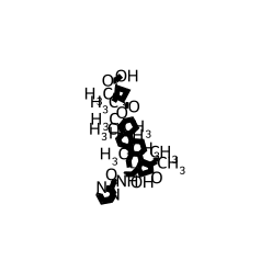 CC(C)C1=C2C3CC[C@@H]4[C@@]5(C)CC[C@H](OC(=O)[C@H]6C[C@@H](C(=O)O)C6(C)C)C(C)(C)[C@@H]5CC[C@@]4(C)[C@]3(C)CC[C@@]2([C@@H](O)CNC(=O)c2ncccn2)CC1=O